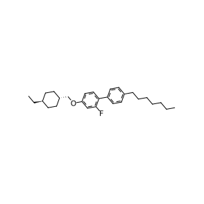 CCCCCCCc1ccc(-c2ccc(OC[C@H]3CC[C@H](CC)CC3)cc2F)cc1